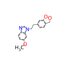 COc1ccc2ncn(CCc3ccc4c(c3)OOC4)c2c1